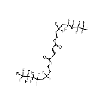 O=C(C=CC(=O)OCCC(F)(F)CC(F)(F)C(F)(F)C(F)(F)C(F)(F)F)OCCC(F)(F)CC(F)(F)C(F)(F)C(F)(F)C(F)(F)F